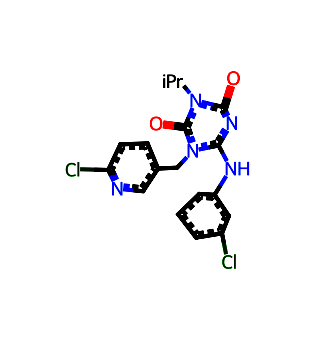 CC(C)n1c(=O)nc(Nc2cccc(Cl)c2)n(Cc2ccc(Cl)nc2)c1=O